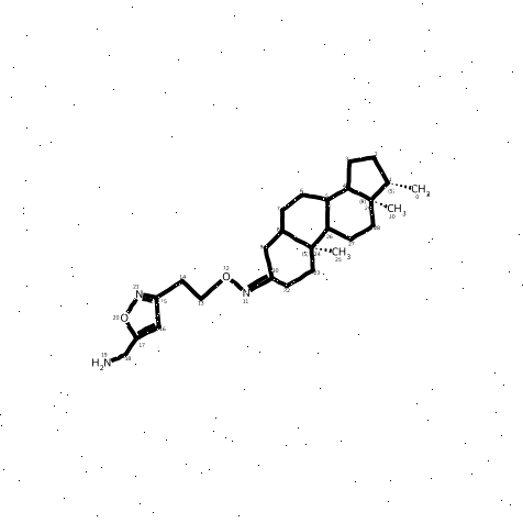 C[C@H]1CCC2C3CCC4CC(=NOCCc5cc(CN)on5)CC[C@]4(C)C3CC[C@@]21C